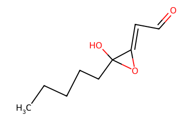 CCCCCC1(O)O/C1=C\C=O